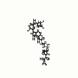 Cc1cnc(Nc2cc(C)n(C)n2)nc1-c1c[nH]c2c(NC(=O)CN3CCC(Oc4cc(C(=O)NC5CC5)on4)C3)cccc12